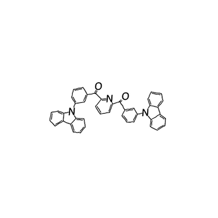 O=C(c1cccc(-n2c3ccccc3c3ccccc32)c1)c1cccc(C(=O)c2cccc(-n3c4ccccc4c4ccccc43)c2)n1